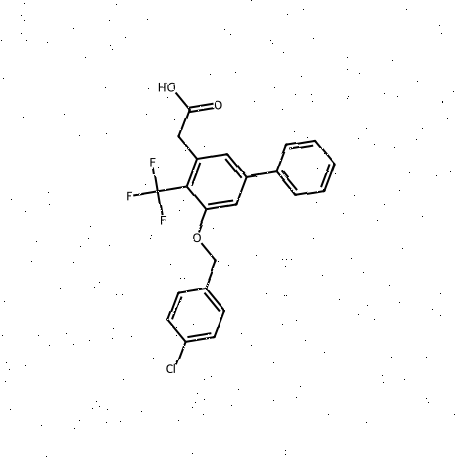 O=C(O)Cc1cc(-c2ccccc2)cc(OCc2ccc(Cl)cc2)c1C(F)(F)F